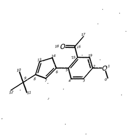 COc1ccc(C2=CC(C(C)(C)C)=CC2)c(C(C)=O)c1